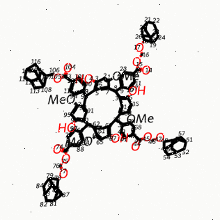 COc1cc(O)c2cc1C(c1ccc(C(=O)OCOC3C4CC5CC(C4)CC3C5)cc1)c1cc(c(OC)cc1O)C(c1ccc(C(=O)OCOC3C4CC5CC(C4)CC3C5)cc1)c1cc(c(OC)cc1O)C(c1ccc(C(=O)OCOC3C4CC5CC(C4)CC3C5)cc1)c1cc(c(OC)cc1O)C2c1ccc(C(=O)OCC2C3CC4CC(C3)CC2C4)cc1